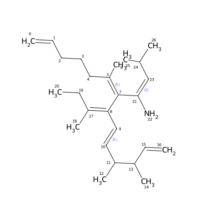 C=CCCC/C(C)=C(C(/C=C/C(C)C(C)C=C)=C(C)CC)/C(N)=C\C(C)C